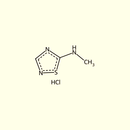 CNc1ncns1.Cl